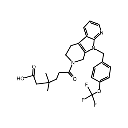 CC(C)(CCC(=O)N1CCc2c(n(Cc3ccc(OC(F)(F)F)cc3)c3ncccc23)C1)CC(=O)O